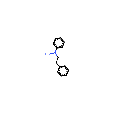 NN(CCc1ccccc1)c1c[c]ccc1